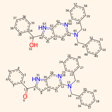 O=C(c1ccccc1)c1cc2cc(N(Cc3ccccc3)Cc3ccccc3)ncc2[nH]1.OC(c1ccccc1)c1cc2cc(N(Cc3ccccc3)Cc3ccccc3)ncc2[nH]1